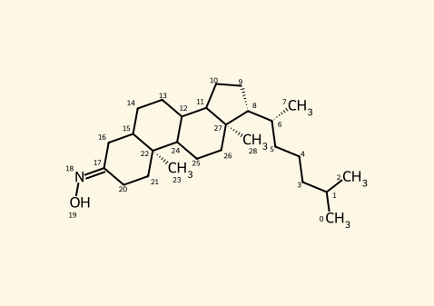 CC(C)CCC[C@@H](C)[C@H]1CCC2C3CCC4C/C(=N/O)CC[C@]4(C)C3CC[C@@]21C